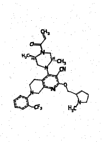 C=CC(=O)N1C[C@H](C)N(c2c(C#N)c(OCC3CCCN3C)nc3c2CCN(c2ccccc2C(F)(F)F)C3)C[C@H]1C